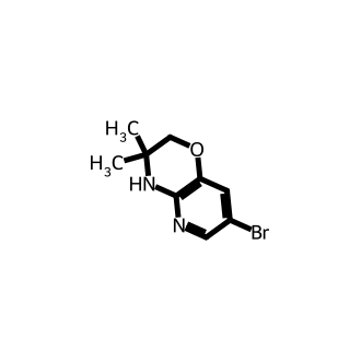 CC1(C)COc2cc(Br)cnc2N1